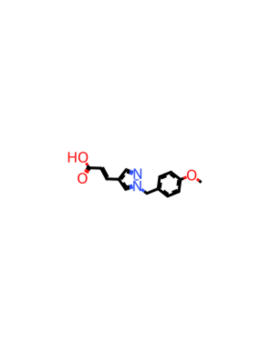 COc1ccc(Cn2cc(/C=C/C(=O)O)cn2)cc1